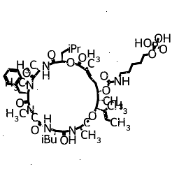 C/C=C(\C)[C@H]1OC[C@@H](C)NC(=O)[C@H](C(C)CC)NC(=O)CN(C)C(=O)[C@@H](Cc2ccccc2)N(C)C(=O)[C@H](C)NC(=O)[C@@H](CC(C)C)OC(=O)/C(C)=C/C[C@H](OC(=O)NCCCCCOP(=O)(O)O)[C@@H]1C